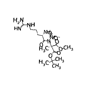 COC(=O)[C@@](C)(C(=O)OC(C)(C)C)N(C(=O)[C@@H](N)CCCNC(=N)N)[N+](=O)[O-]